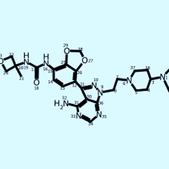 CN(C)C1CCN(CCn2nc(-c3ccc(NC(=O)NC4(C)COC4)c4c3OCO4)c3c(N)ncnc32)CC1